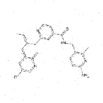 C=c1ncc(Cl)c/c1=C/C(=C\C)Cc1cc(C(=O)NCc2ccc(N)nc2C)ccn1